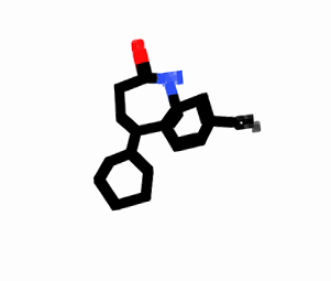 Cc1ccc2c(c1)NC(=O)CCC2C1CCCCC1